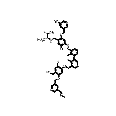 C/N=C/c1cncc(COc2cc(OCc3cccc(-c4cccc(COc5cc(OCc6cncc(C#N)c6)c(CN[C@H](C(=O)O)[C@@H](C)O)cc5Cl)c4C)c3C)c(Cl)cc2CO)c1